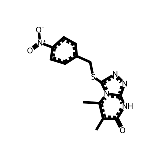 Cc1c(C)n2c(SCc3ccc([N+](=O)[O-])cc3)nnc2[nH]c1=O